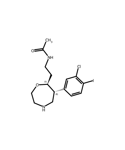 CC(=O)NCC[C@@H]1OCCNC[C@H]1c1ccc(I)c(Cl)c1